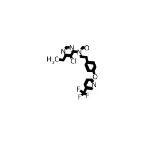 CCc1ncnc(N(C=O)CCc2ccc(Oc3ccc(C(F)(F)F)cn3)cc2)c1Cl